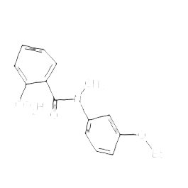 CCOc1cccc(N(C)C(=O)c2ccccc2C(=O)O)c1